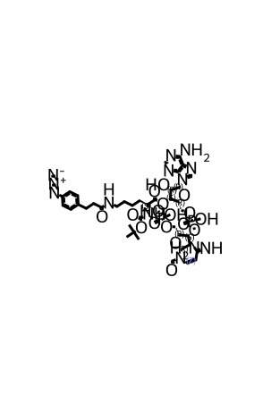 CC(C)(C)OC(=O)N[C@@H](CCCCNC(=O)CCc1ccc(N=[N+]=[N-])cc1)C(=O)O[C@H]1[C@@H](O)[C@H](n2cnc3c(N)ncnc32)O[C@@H]1COP(=O)(O)O[C@H]1C[C@H](N(C=O)/C=C\C(=N)N)O[C@@H]1COP(=O)(O)O